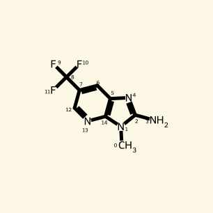 Cn1c(N)nc2cc(C(F)(F)F)cnc21